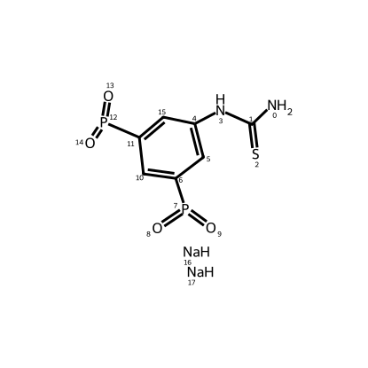 NC(=S)Nc1cc(P(=O)=O)cc(P(=O)=O)c1.[NaH].[NaH]